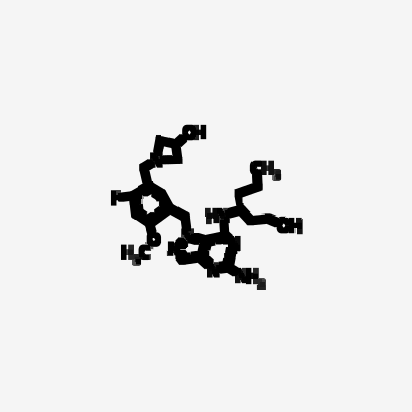 CCC[C@@H](CCO)Nc1nc(N)nc2cnn(Cc3cc(CN4CC(O)C4)c(F)cc3OC)c12